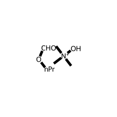 CCCO[C-]=O.C[N+](C)(C)O